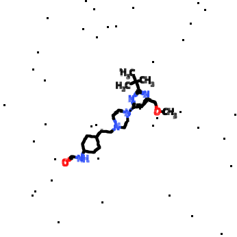 COCc1cc(N2CCN(CCC3CCC(NC=O)CC3)CC2)nc(C(C)(C)C)n1